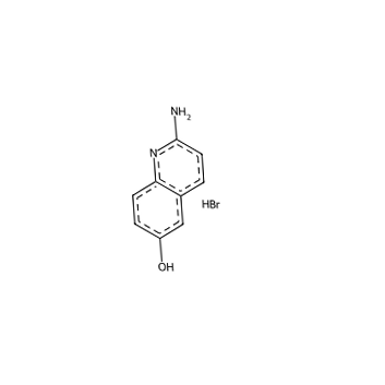 Br.Nc1ccc2cc(O)ccc2n1